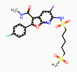 CNC(=O)c1c(-c2ccc(F)cc2)oc2nc(NS(=O)(=O)CCCCCS(C)(=O)=O)c(I)cc12